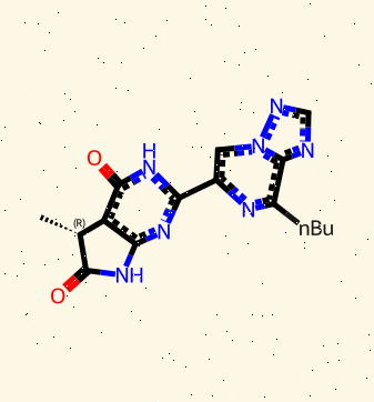 CCCCc1nc(-c2nc3c(c(=O)[nH]2)[C@@H](C)C(=O)N3)cn2ncnc12